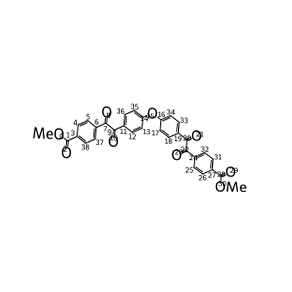 COC(=O)c1ccc(C(=O)C(=O)c2ccc(Oc3ccc(C(=O)C(=O)c4ccc(C(=O)OC)cc4)cc3)cc2)cc1